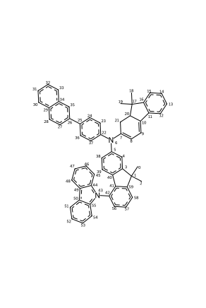 CC1(C)c2cc(N(C3=CC=C4c5ccccc5C(C)(C)C4C3)c3ccc(-c4ccc5ccccc5c4)cc3)ccc2-c2c(-n3c4ccccc4c4ccccc43)cccc21